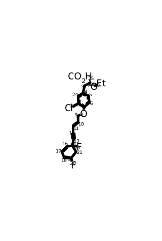 CCO[C@@H](Cc1ccc(OCC=CC#CC2(F)C=CC=C(F)C2)c(Cl)c1)C(=O)O